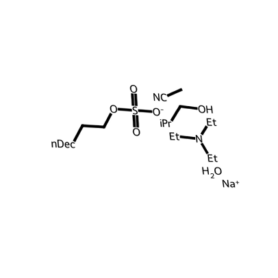 CC#N.CC(C)CO.CCCCCCCCCCCCOS(=O)(=O)[O-].CCN(CC)CC.O.[Na+]